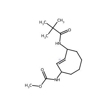 COC(=O)NC1/C=C/C(NC(=O)C(C)(C)C)CCCC1